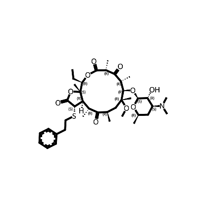 CC[C@H]1OC(=O)[C@H](C)C(=O)[C@H](C)[C@@H](O[C@@H]2O[C@H](C)C[C@H](N(C)C)[C@H]2O)[C@](C)(OC)C[C@@H](C)C(=O)[C@H](C)[C@H]2[C@H](SCCc3ccccc3)C(=O)O[C@@]21C